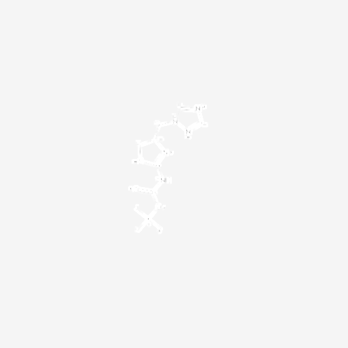 CC(C)(C)OC(=O)NC1=NC(Cn2cncn2)CS1